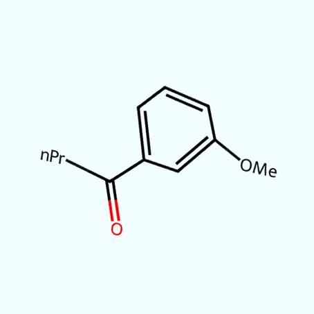 [CH2]CCC(=O)c1cccc(OC)c1